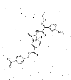 CCON=C(C(=O)NC1C(=O)N2C=C(C(=O)OCc3ccc([N+](=O)[O-])cc3)CS[C@H]12)c1csc(N)n1